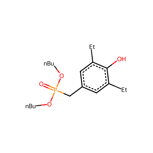 CCCCOP(=O)(Cc1cc(CC)c(O)c(CC)c1)OCCCC